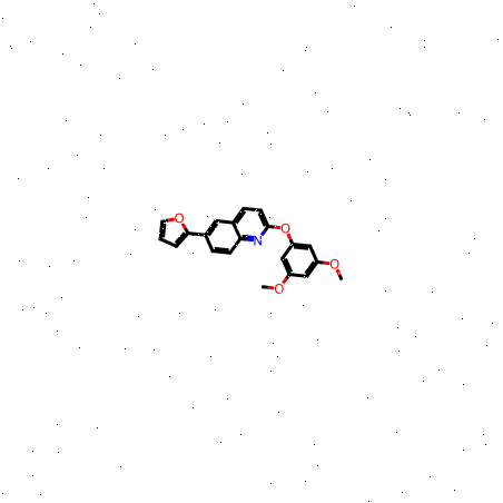 COc1cc(OC)cc(Oc2ccc3cc(-c4ccco4)ccc3n2)c1